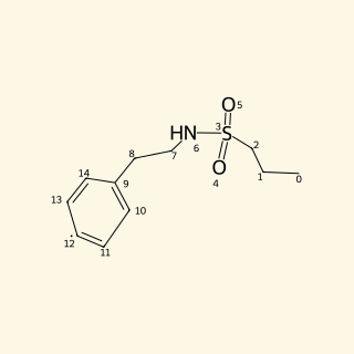 CCCS(=O)(=O)NCCc1cc[c]cc1